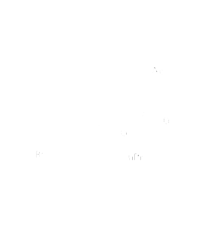 CCCOC(=O)C(=Cc1ccc(Br)cc1)C(C)=O